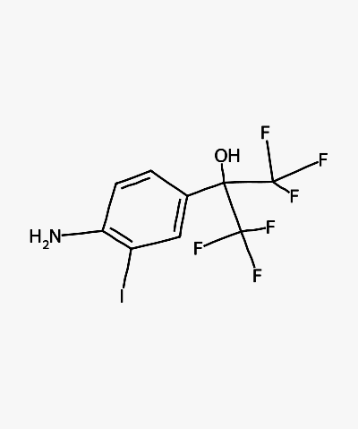 Nc1ccc(C(O)(C(F)(F)F)C(F)(F)F)cc1I